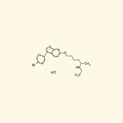 CCNC(C)CCCCOc1ccc2c(-c3ccc(Br)cc3)csc2c1.Cl